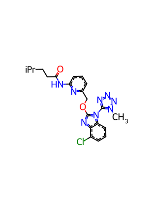 CC(C)CCC(=O)Nc1cccc(COc2nc3c(Cl)cccc3n2-c2nnnn2C)n1